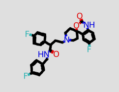 O=C1Nc2ccc(F)cc2C2(CCN(CCC(C(=O)NCc3ccc(F)cc3)c3ccc(F)cc3)CC2)O1